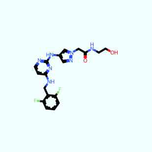 O=C(Cn1cc(Nc2nccc(NCc3c(F)cccc3F)n2)cn1)NCCO